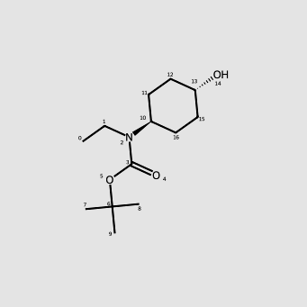 CCN(C(=O)OC(C)(C)C)[C@H]1CC[C@H](O)CC1